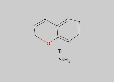 C1=Cc2ccccc2OC1.[SbH3].[Ti]